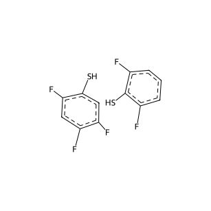 Fc1cc(F)c(S)cc1F.Fc1cccc(F)c1S